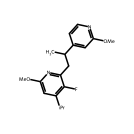 COc1cc(C(C)Cc2nc(OC)cc(C(C)C)c2F)ccn1